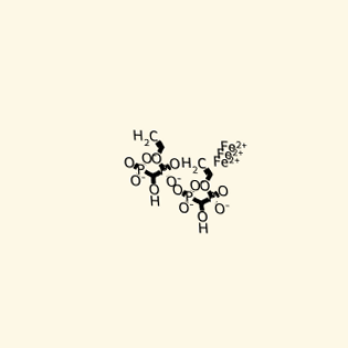 C=COP(=O)([O-])C(O)P(=O)([O-])[O-].C=COP(=O)([O-])C(O)P(=O)([O-])[O-].[Fe+2].[Fe+2].[Fe+2]